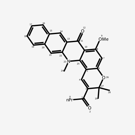 CCCC(=O)C1=Cc2c(cc(OC)c3c(=O)c4cc5ccccc5cc4n(C)c23)OC1(C)C